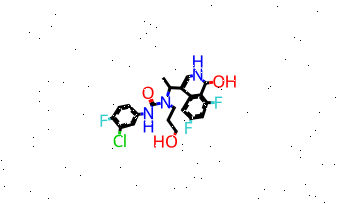 CC(C1=CNC(O)c2c(F)cc(F)cc21)N(CCCO)C(=O)Nc1ccc(F)c(Cl)c1